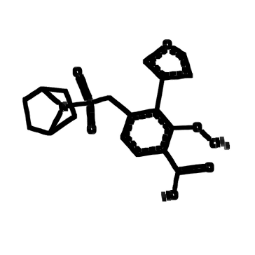 COc1c(C(=O)O)ccc(CS(=O)(=O)N2C3CCC2CC3)c1-c1ccoc1